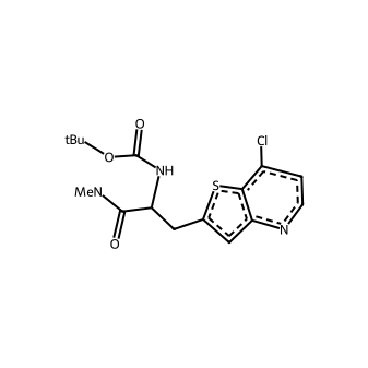 CNC(=O)C(Cc1cc2nccc(Cl)c2s1)NC(=O)OC(C)(C)C